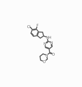 O=C(c1cnc(NC2Cc3ccc(Cl)c(F)c3C2)nc1)N1CCCOC1